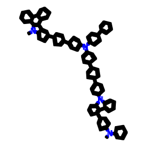 CN(c1ccccc1)c1ccc(-c2cccc3c2c2ccccc2n3-c2ccc(-c3ccc(-c4ccc(N(c5ccc(-c6ccccc6)cc5)c5ccc(-c6ccc(-c7ccc8c(c7)c7c9ccccc9c9ccccc9c7n8C)cc6)cc5)cc4)cc3)cc2)cc1